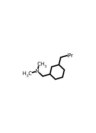 CC(C)CC1CCCC(CN(C)C)C1